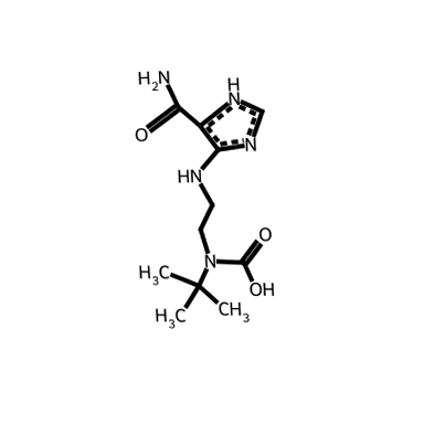 CC(C)(C)N(CCNc1nc[nH]c1C(N)=O)C(=O)O